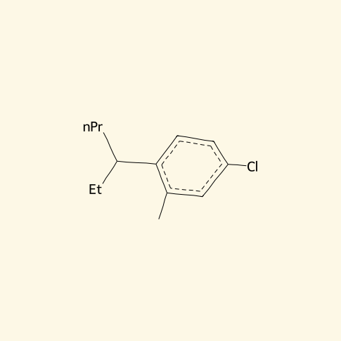 CCCC(CC)c1ccc(Cl)cc1C